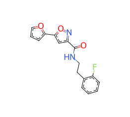 O=C(NCCc1ccccc1F)c1cc(-c2ccco2)on1